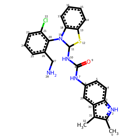 Cc1[nH]c2ccc(NC(=O)NC3Sc4ccccc4N3c3c(Cl)cccc3CN)cc2c1C